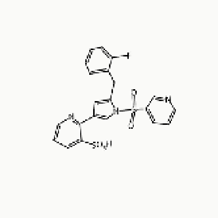 O=S(=O)(O)c1cccnc1-c1cc(Cc2ccccc2F)n(S(=O)(=O)c2cccnc2)c1